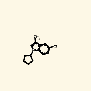 Cc1cn(C2CCCC2)c2ccc(Cl)cc12